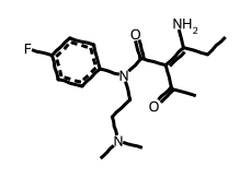 CCC(N)=C(C(C)=O)C(=O)N(CCN(C)C)c1ccc(F)cc1